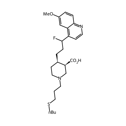 CCCCSCCCN1CC[C@@H](CCC(F)c2ccnc3ccc(OC)cc23)[C@@H](C(=O)O)C1